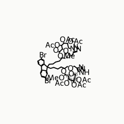 COC(=O)C1OC(n2nncc2COCCCCCCC2(CCCCCCOCc3nn[nH]c3[C@H]3O[C@H](C(=O)OC)[C@H](OC(C)=O)[C@@H](OC(C)=O)[C@H]3OC(C)=O)c3cc(Br)ccc3-c3ccc(Br)cc32)C(OC(C)=O)C(OC(C)=O)C1OC(C)=O